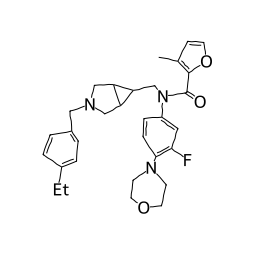 CCc1ccc(CN2CC3C(C2)C3CN(C(=O)c2occc2C)c2ccc(N3CCOCC3)c(F)c2)cc1